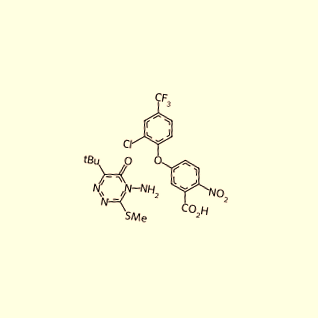 CSc1nnc(C(C)(C)C)c(=O)n1N.O=C(O)c1cc(Oc2ccc(C(F)(F)F)cc2Cl)ccc1[N+](=O)[O-]